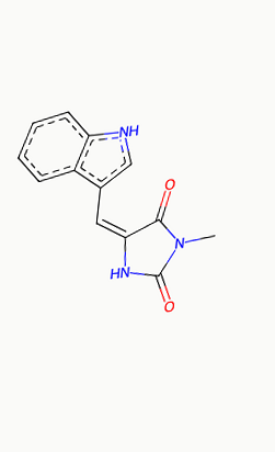 CN1C(=O)N/C(=C/c2c[nH]c3ccccc23)C1=O